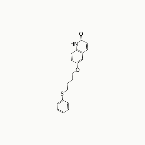 O=c1ccc2cc(OCCCCSc3ccccc3)ccc2[nH]1